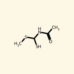 CSC(S)NC(C)=O